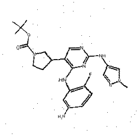 Cn1cc(Nc2ncc(C3CCN(C(=O)OC(C)(C)C)C3)c(Nc3cc(N)ccc3F)n2)cn1